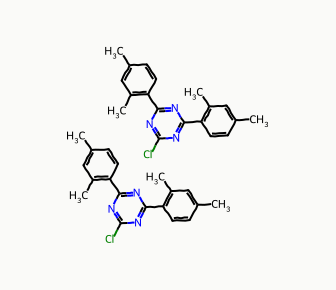 Cc1ccc(-c2nc(Cl)nc(-c3ccc(C)cc3C)n2)c(C)c1.Cc1ccc(-c2nc(Cl)nc(-c3ccc(C)cc3C)n2)c(C)c1